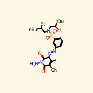 CCCCC(CC)CN(CC(CC)CCCC)S(=O)(=O)c1cccc(/N=N/C2C(=O)N(N)C(=O)C(C#N)=C2C)c1